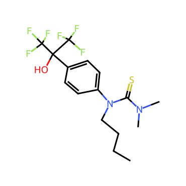 CCCCN(C(=S)N(C)C)c1ccc(C(O)(C(F)(F)F)C(F)(F)F)cc1